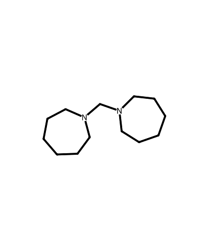 C1CCCN(CN2CCCCCC2)CC1